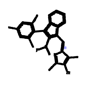 CCC1=C(C)/C(=C/c2c3ccccc3c(-c3c(C)cc(C)cc3C)n2B(C)F)N=C1C